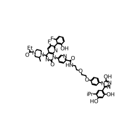 CCC(=O)N1CCN(c2nc(=O)n(-c3ccc(C(=O)NCCOCCOc4ccc(-n5c(O)nnc5-c5cc(C(C)C)c(O)cc5O)cc4)nc3)c3nc(-c4c(O)cccc4F)c(F)cc23)C(C)C1